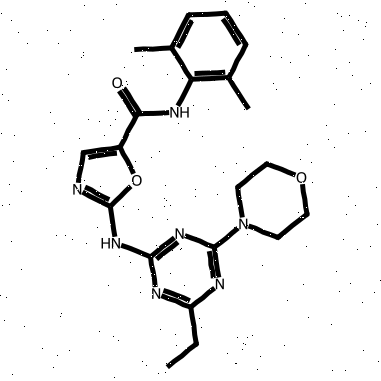 CCc1nc(Nc2ncc(C(=O)Nc3c(C)cccc3C)o2)nc(N2CCOCC2)n1